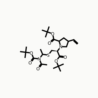 C=CC1CC(C(=O)OC(C)(C)C)N([C@H](CSC(C)N(C(C)=O)C(=O)OC(C)(C)C)C(=O)OC(C)(C)C)C1